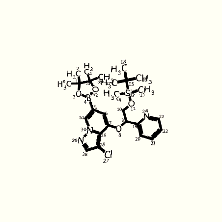 CC1(C)OB(c2cc(OC(CO[Si](C)(C)C(C)(C)C)c3ccccn3)c3c(Cl)cnn3c2)OC1(C)C